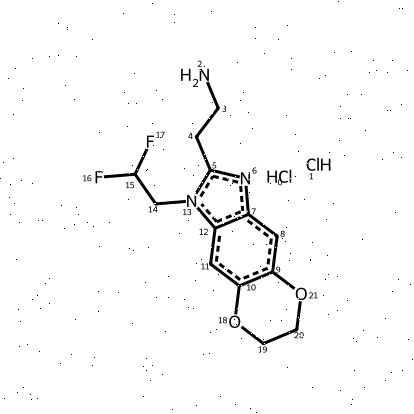 Cl.Cl.NCCc1nc2cc3c(cc2n1CC(F)F)OCCO3